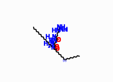 CCCCCCCC/C=C\CCCCCCC(=O)CN(CCCCCCCCCCCCCCCC)C(=O)C(N)CNC(=O)C(N)CCCNC(=N)N